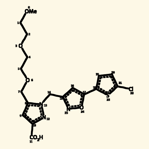 COCCOCCOCc1cc(C(=O)O)nn1Cc1cc(-c2ccc(Cl)s2)on1